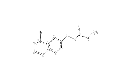 COC(=O)CCc1ccc2cccc(Br)c2c1